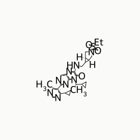 CCS(=O)(=O)N1C[C@@H]2C(CNc3nc4cnc(-c5c(C)ncnc5C5CC5)nc4n([C@@H](C)C4CC4)c3=O)[C@@H]2C1